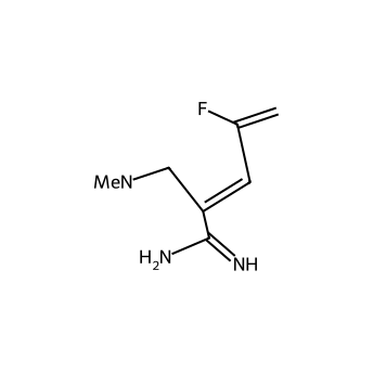 C=C(F)/C=C(\CNC)C(=N)N